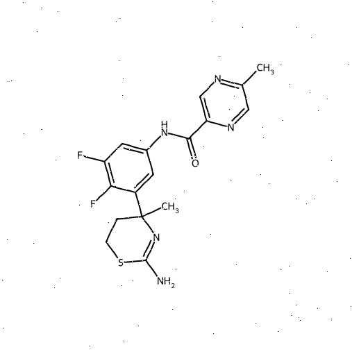 Cc1cnc(C(=O)Nc2cc(F)c(F)c(C3(C)CCSC(N)=N3)c2)cn1